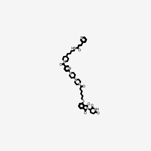 O=C(/C=C/c1cccnc1)NCCCCC1CCN(C(=O)c2ccc(N3CCC(N4CCN(C(=O)CCCCCSc5cccc6c5C(=O)N(C5CCC(=O)NC5=O)C6=O)CC4)CC3)nc2)CC1